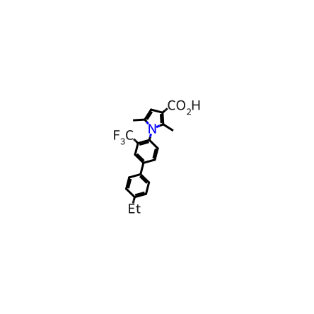 CCc1ccc(-c2ccc(-n3c(C)cc(C(=O)O)c3C)c(C(F)(F)F)c2)cc1